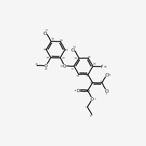 CCOC(=O)C(=C(Cl)Cl)c1cc(Oc2ccc(Cl)cc2OC)c(Cl)cc1F